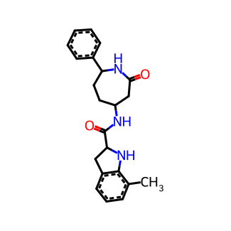 Cc1cccc2c1NC(C(=O)NC1CCC(c3ccccc3)NC(=O)C1)C2